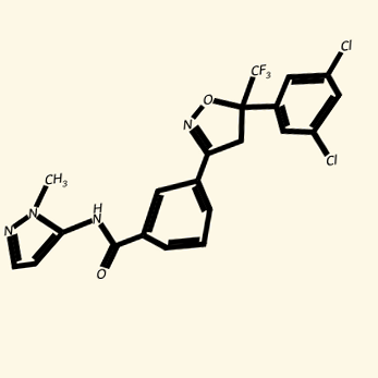 Cn1nccc1NC(=O)c1cccc(C2=NOC(c3cc(Cl)cc(Cl)c3)(C(F)(F)F)C2)c1